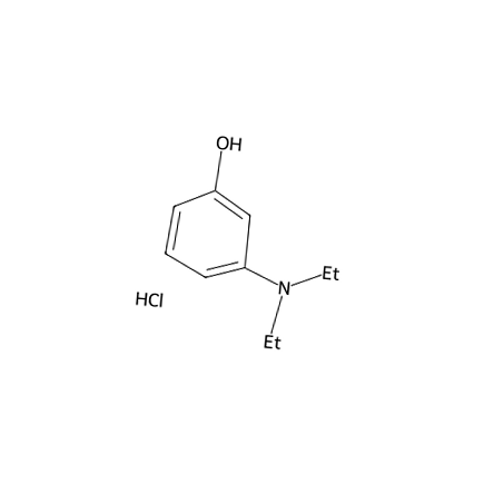 CCN(CC)c1cccc(O)c1.Cl